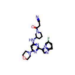 N#CCC(=O)N1CCCC(Nc2cc(N3CCOCC3)nc(-c3cnc4ccc(F)cn34)n2)C1